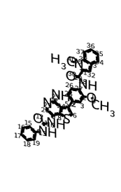 COc1cc(-c2csc3c(NC(=O)Nc4ccccc4)cnc(N)c23)ccc1NC(=O)c1cc2ccccc2n1C